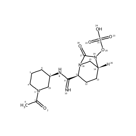 CC(=O)N1CCC[C@@H](NC(=N)[C@@H]2CC[C@@H]3CN2C(=O)N3OS(=O)(=O)O)C1